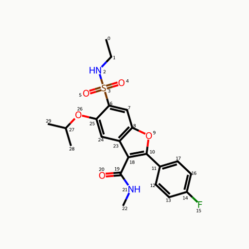 CCNS(=O)(=O)c1cc2oc(-c3ccc(F)cc3)c(C(=O)NC)c2cc1OC(C)C